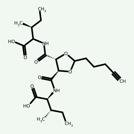 C#CCCCC1O[C@@H](C(=O)NC(C(=O)O)[C@@H](C)CC)[C@H](C(=O)N[C@H](C(=O)O)[C@@H](C)CC)O1